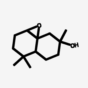 CC1(O)CCC2C(C)(C)CCC3OC32C1